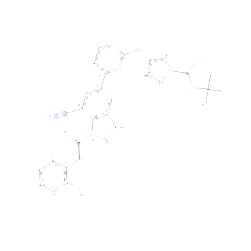 CC(C)(C)OC(=O)n1cc(Nc2nccc(-c3cc(C#N)c4c(c3)CCN4C(=O)Cc3ccccc3F)n2)cn1